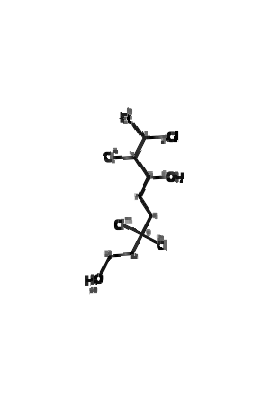 CCC(Cl)C(Cl)C(O)CCC(Cl)(Cl)CCO